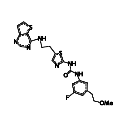 COCCc1cc(F)cc(NC(=O)Nc2ncc(CCNc3ncnc4ccsc34)s2)c1